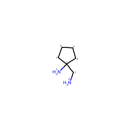 NCC1(N)CCCC1